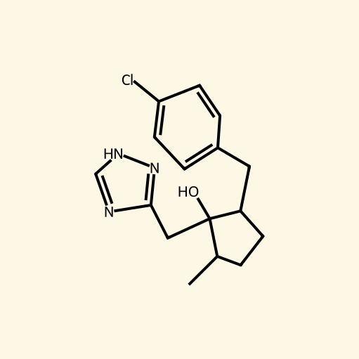 CC1CCC(Cc2ccc(Cl)cc2)C1(O)Cc1nc[nH]n1